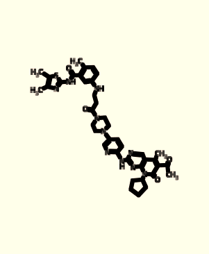 CC(=O)c1c(C)c2cnc(Nc3ccc(N4CCN(C(=O)CCNc5ccc(C)c(C(=O)Nc6nc(C)c(C)s6)c5)CC4)cn3)nc2n(C2CCCC2)c1=O